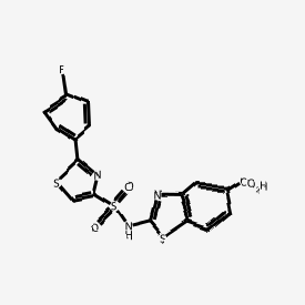 O=C(O)c1ccc2sc(NS(=O)(=O)c3csc(-c4ccc(F)cc4)n3)nc2c1